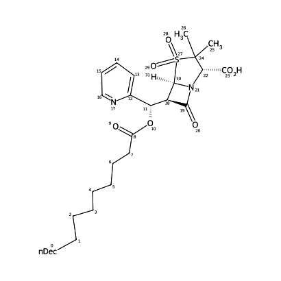 CCCCCCCCCCCCCCCCCC(=O)O[C@H](c1ccccn1)[C@@H]1C(=O)N2[C@@H](C(=O)O)C(C)(C)S(=O)(=O)[C@H]12